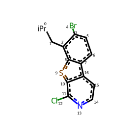 CC(C)Cc1c(Br)ccc2c1sc1c(Cl)nccc12